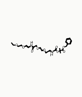 CCOCCOCCNC(=O)COCCOCCNC(=O)OC(C)(C)C(=O)OCc1ccccc1